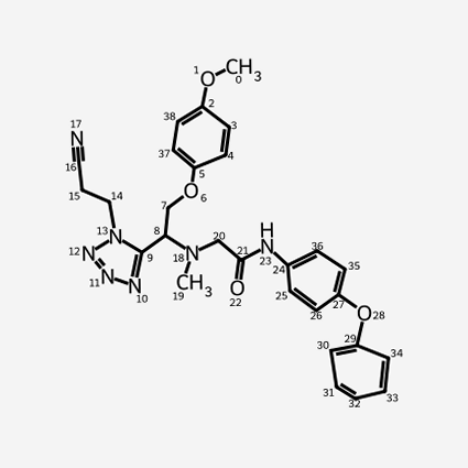 COc1ccc(OCC(c2nnnn2CCC#N)N(C)CC(=O)Nc2ccc(Oc3ccccc3)cc2)cc1